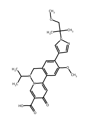 COCC(C)(C)n1cc(-c2cc3c(cc2OC)-c2cc(=O)c(C(=O)O)cn2N(C(C)C)C3)cn1